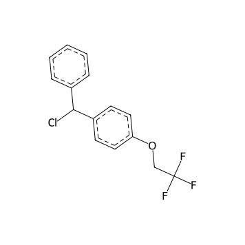 FC(F)(F)COc1ccc(C(Cl)c2ccccc2)cc1